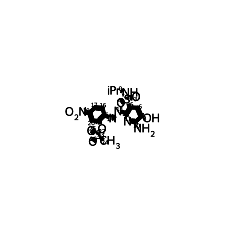 CC(C)NS(=O)(=O)c1cc(O)c(N)nc1N=Nc1ccc([N+](=O)[O-])cc1OS(C)(=O)=O